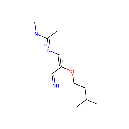 CN/C(C)=N/C=C(\C=N)OCCC(C)C